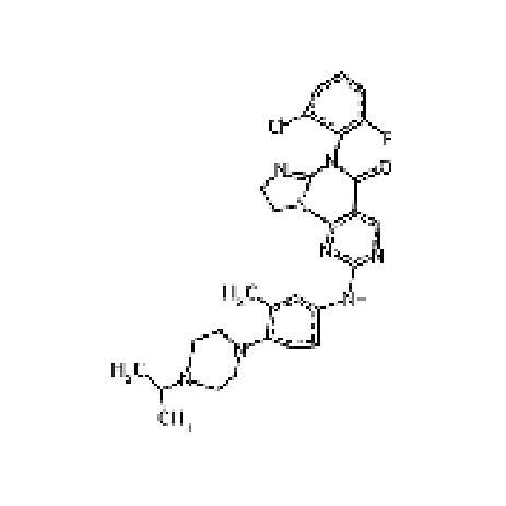 Cc1cc(Nc2ncc3c(n2)N2CCN=C2N(c2c(F)cccc2Cl)C3=O)ccc1N1CCN(C(C)C)CC1